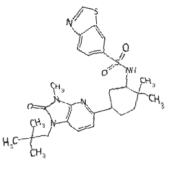 Cn1c(=O)n(CC(C)(C)C)c2ccc(C3CCC(C)(C)C(NS(=O)(=O)c4ccc5ncsc5c4)C3)nc21